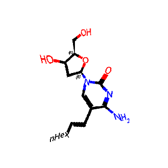 CCCCCCC=Cc1cn([C@H]2CC(O)[C@@H](CO)O2)c(=O)nc1N